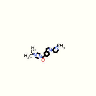 CC(C)N1CCN(C(=O)c2ccc3c(ccn3C3CCCN(C)C3)c2)CC1